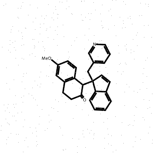 COc1ccc2c(c1)CCC(=O)C2C1(Cc2cccnc2)C=Cc2ccccc21